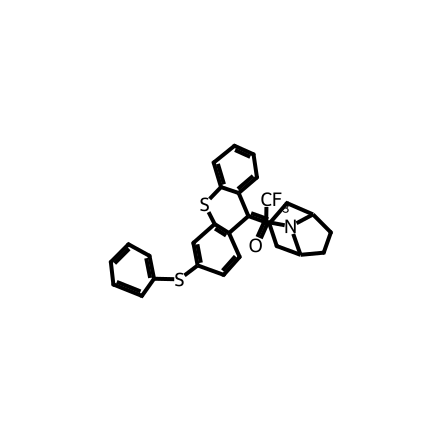 O=C(N1C2CCC1CC(=C1c3ccccc3Sc3cc(Sc4ccccc4)ccc31)C2)C(F)(F)F